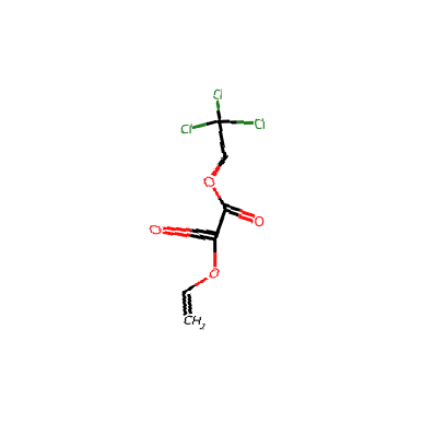 C=COC(=O)C(=O)OCC(Cl)(Cl)Cl